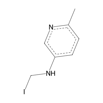 Cc1ccc(NCI)cn1